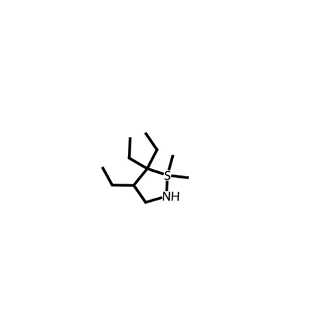 CCC1CNS(C)(C)C1(CC)CC